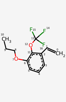 C=Cc1cccc(OCCC)c1OC(F)(F)F